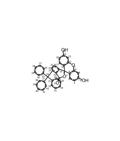 O=C1OC2(c3ccc(O)cc3Oc3cc(O)ccc32)c2cccc(C(c3ccccc3)(c3ccccc3)c3ccccc3)c21